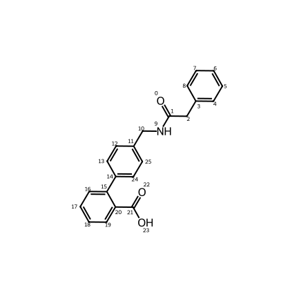 O=C(Cc1ccccc1)NCc1ccc(-c2ccccc2C(=O)O)cc1